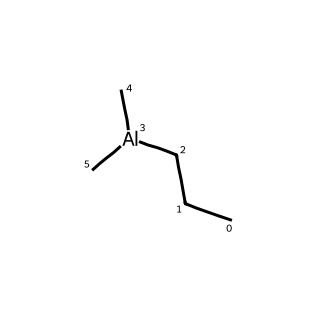 CC[CH2][Al]([CH3])[CH3]